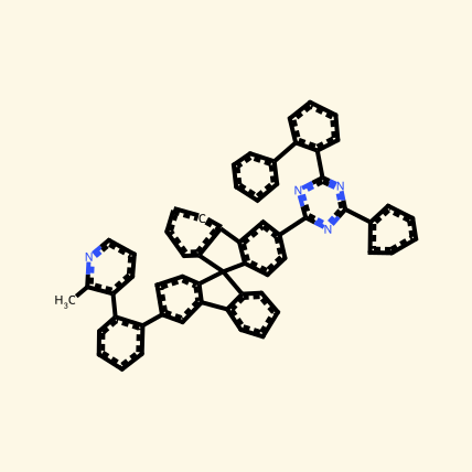 Cc1ncccc1-c1ccccc1-c1ccc2c(c1)-c1ccccc1C21c2ccccc2-c2cc(-c3nc(-c4ccccc4)nc(-c4ccccc4-c4ccccc4)n3)ccc21